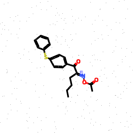 CCCC/C(=N\OC(C)=O)C(=O)c1ccc(Sc2ccccc2)cc1